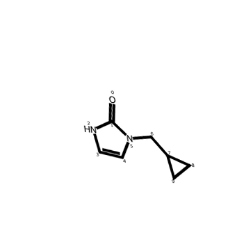 O=c1[nH]ccn1CC1CC1